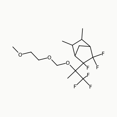 COCCOCOC(C)(C(F)(F)F)C1(F)C2CC(C(C)C2C)C1(F)F